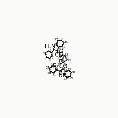 NC(c1ccccc1)C(OC(=O)/C=C\C(=O)OC(c1ccccc1)(C(N)c1ccccc1)C(F)(F)F)(c1ccccc1)C(F)(F)F